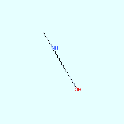 CCCCCCCCCNCCCCCCCCCCCCCCCCCCCCCCO